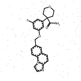 NC(=O)C1(c2cc(F)cc(OCc3ccc4c(ccc5nccn54)c3)c2)CCOCC1